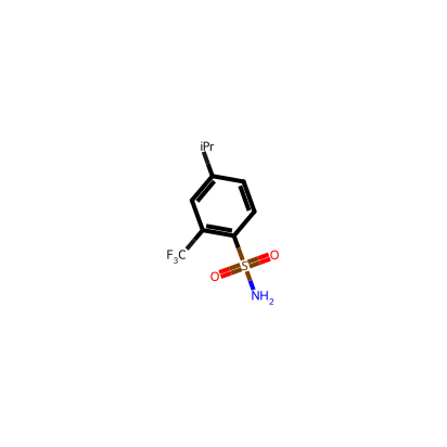 CC(C)c1ccc(S(N)(=O)=O)c(C(F)(F)F)c1